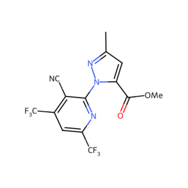 COC(=O)c1cc(C)nn1-c1nc(C(F)(F)F)cc(C(F)(F)F)c1C#N